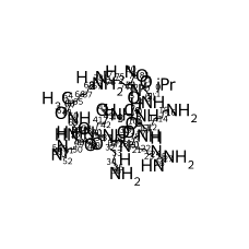 CC(C)C[C@H](NC(=O)[C@H](C)NC(=O)[C@H](CCCCN)NC(=O)[C@H](CCCNC(=N)N)NC(=O)[C@H](CCCCN)NC(=O)[C@H](CCC(N)=O)NC(=O)[C@H](Cc1cnc[nH]1)NC(=O)CNC(=O)[C@@H](C)CCCCN)C(=O)N[C@@H](CCCCN)C(N)=O